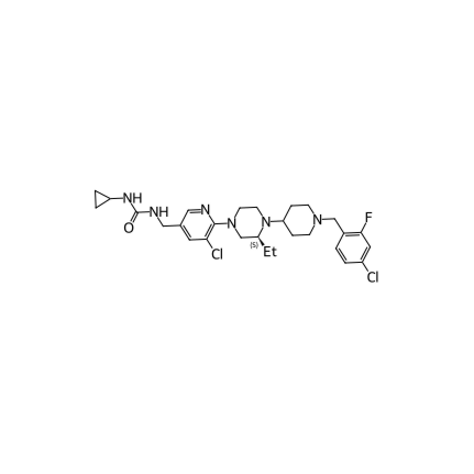 CC[C@H]1CN(c2ncc(CNC(=O)NC3CC3)cc2Cl)CCN1C1CCN(Cc2ccc(Cl)cc2F)CC1